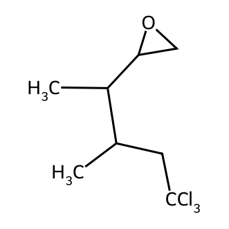 CC(CC(Cl)(Cl)Cl)C(C)C1CO1